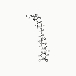 Cc1sc(N)nc1-c1ccc(OCCCC(=O)NC2CCN(Cc3ccc(Cl)c(Cl)c3)CC2)cc1